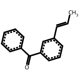 CC=Cc1cccc(C(=O)c2ccccc2)c1